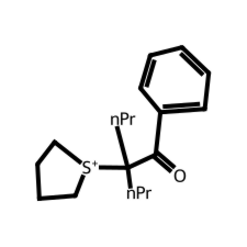 CCCC(CCC)(C(=O)c1ccccc1)[S+]1CCCC1